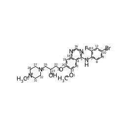 COc1cc2c(Nc3ccc(Br)cc3F)ncnc2cc1OCC(O)CN1CCN(C)CC1